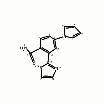 NC(=O)c1ccc(-n2cccc2)cc1-c1nccs1